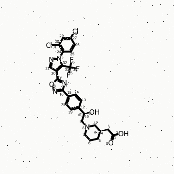 O=C(O)C[C@H]1CCCN(C[C@H](O)c2ccc(-c3noc(-c4cnn(-c5ccc(Cl)cc5Cl)c4C(F)(F)F)n3)cc2)C1